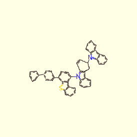 C1=CC(n2c3ccccc3c3ccccc32)Cc2c1n(-c1ccc(-c3ccc(-c4ccccc4)cc3)c3sc4ccccc4c13)c1ccccc21